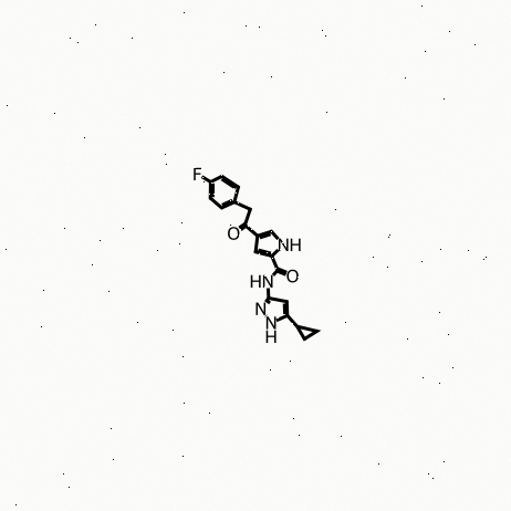 O=C(Cc1ccc(F)cc1)c1c[nH]c(C(=O)Nc2cc(C3CC3)[nH]n2)c1